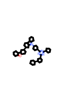 c1ccc(-c2cccc(-c3nc(-c4ccccc4)nc(-c4ccc(-n5c6ccccc6c6ccc(-c7ccc8oc9ccccc9c8c7)cc65)cc4)n3)c2)cc1